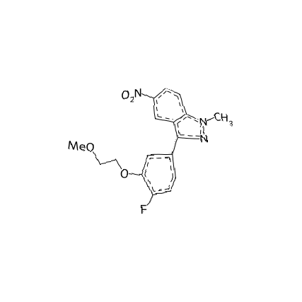 COCCOc1cc(-c2nn(C)c3ccc([N+](=O)[O-])cc23)ccc1F